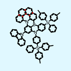 Cc1ccc([Si](c2ccccc2)(c2ccc(C)cc2)c2ccc(N3c4ccc([Si](c5ccccc5)(c5ccc(C)cc5)c5ccc(C)cc5)cc4B4c5cccc(-c6ccccc6)c5N(c5ccccc5-c5ccccc5)c5cc(-n6c7ccccc7c7ccccc76)cc3c54)cc2)cc1